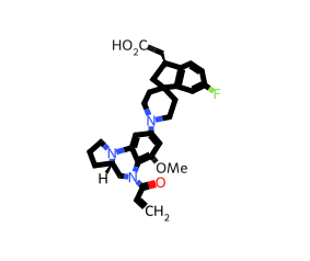 C=CC(=O)N1C[C@@H]2CCCN2c2cc(N3CCC4(CC3)C[C@@H](CC(=O)O)c3ccc(F)cc34)cc(OC)c21